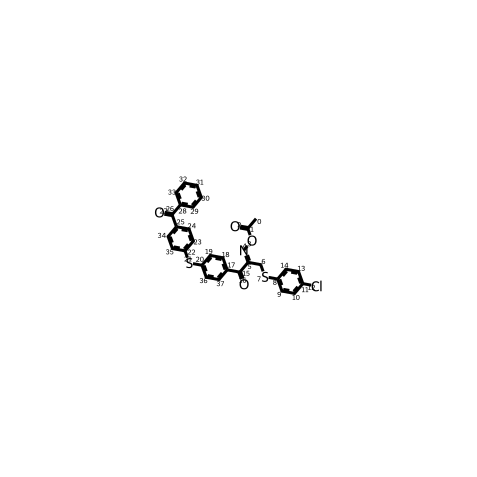 CC(=O)O/N=C(\CSc1ccc(Cl)cc1)C(=O)c1ccc(Sc2ccc(C(=O)c3ccccc3)cc2)cc1